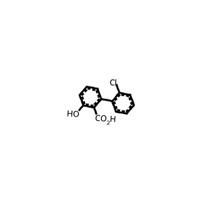 O=C(O)c1c(O)cccc1-c1ccccc1Cl